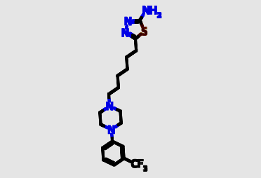 Nc1nnc(CCCCCCN2CCN(c3cccc(C(F)(F)F)c3)CC2)s1